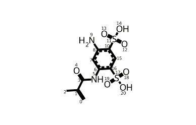 C=C(C)C(=O)Nc1cc(N)c(S(=O)(=O)O)cc1S(=O)(=O)O